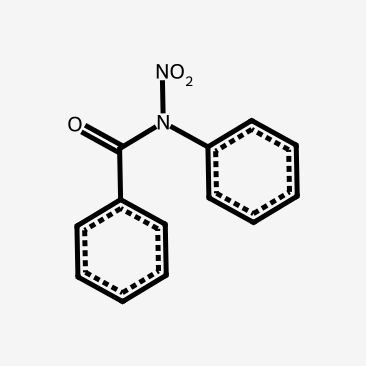 O=C(c1ccccc1)N(c1ccccc1)[N+](=O)[O-]